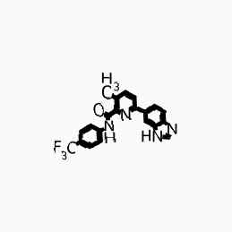 Cc1ccc(-c2ccc3nc[nH]c3c2)nc1C(=O)Nc1ccc(C(F)(F)F)cc1